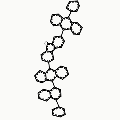 c1ccc(-c2ccc(-c3c4ccccc4c(-c4ccc5oc6cc(-c7c8ccccc8c(-c8ccccc8)c8ccccc78)ccc6c5c4)c4ccccc34)c3ccccc23)cc1